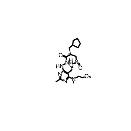 COCCN(C)c1nc(C)nc(NNC(=O)[C@@H](CC2CCCC2)CN(O)C=O)c1F